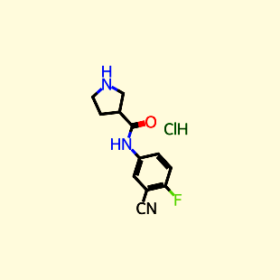 Cl.N#Cc1cc(NC(=O)C2CCNC2)ccc1F